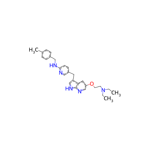 CCN(CC)CCOc1cnc2[nH]cc(Cc3ccc(NCc4ccc(C)cc4)nc3)c2c1